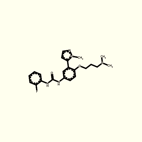 CN(C)CCCOc1ccc(NC(=O)Nc2ccccc2F)cc1-c1ccnn1C